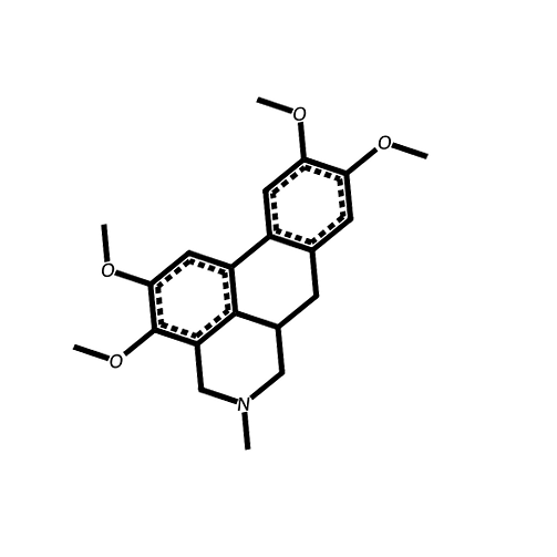 COc1cc2c(cc1OC)-c1cc(OC)c(OC)c3c1C(C2)CN(C)C3